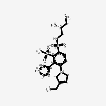 NCC1=CCN(c2ccc(S(=O)(=O)NC[C@H](O)CN)c(S(N)(=O)=O)c2-c2nn[nH]n2)C1